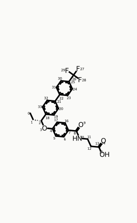 CC[C@@H](Oc1ccc(C(=O)NCCC(=O)O)cc1)c1ccc(-c2ccc(C(F)(F)F)cc2)cc1